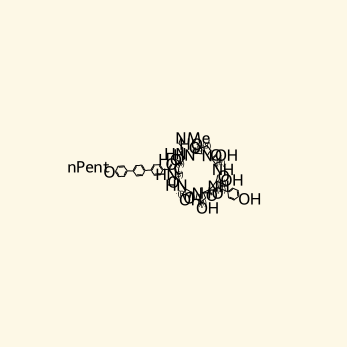 CCCCCOc1ccc(-c2ccc(-c3ccc(C(=O)N[C@H]4C[C@@H](O)C(NCCNC)NC(=O)C5[C@@H](O)[C@@H](C)CN5C(=O)C([C@@H](C)O)NC(=O)C([C@H](O)[C@@H](O)c5ccc(O)cc5)NC(=O)C5C[C@@H](O)CN5C(=O)C([C@@H](C)O)NC4=O)cc3)cc2)cc1